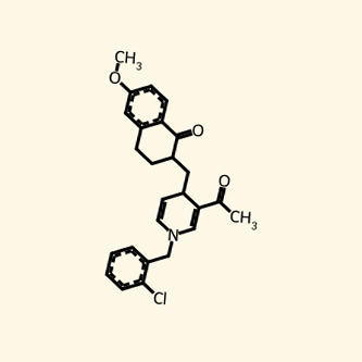 COc1ccc2c(c1)CCC(CC1C=CN(Cc3ccccc3Cl)C=C1C(C)=O)C2=O